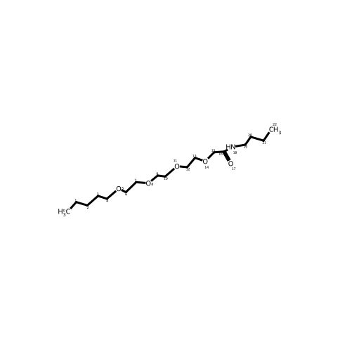 CCCCCOCCOCCOCCOCC(=O)NCCCC